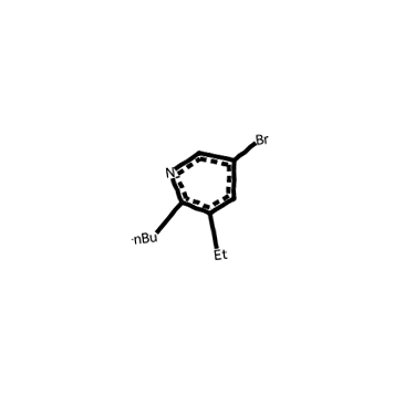 CCC[CH]c1ncc(Br)cc1CC